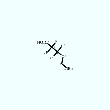 CC(C)(C)COC(F)(F)C(F)(F)C(=O)O